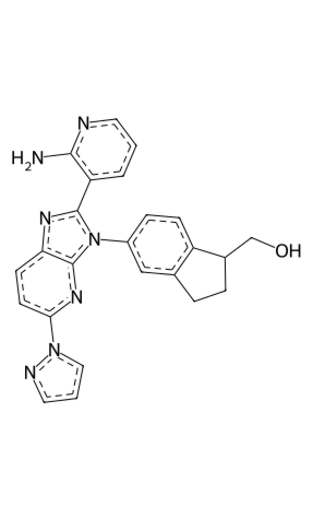 Nc1ncccc1-c1nc2ccc(-n3cccn3)nc2n1-c1ccc2c(c1)CCC2CO